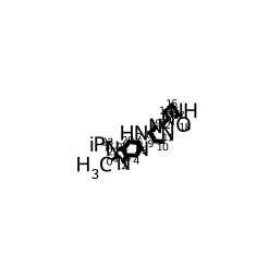 Cc1nc2cnc(Nc3ccnc(N4CCNC4=O)n3)cc2n1C(C)C